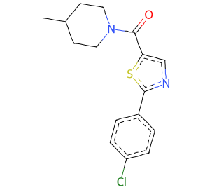 CC1CCN(C(=O)c2cnc(-c3ccc(Cl)cc3)s2)CC1